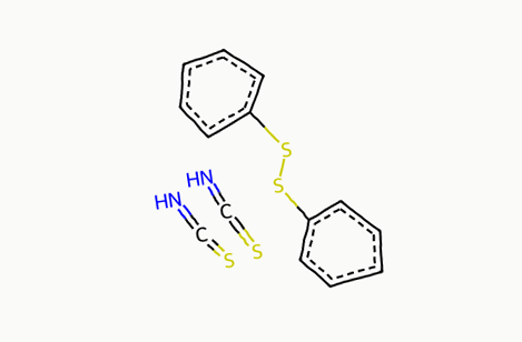 N=C=S.N=C=S.c1ccc(SSc2ccccc2)cc1